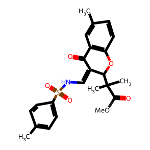 COC(=O)C(C)(C)C1Oc2ccc(C)cc2C(=O)/C1=C\NS(=O)(=O)c1ccc(C)cc1